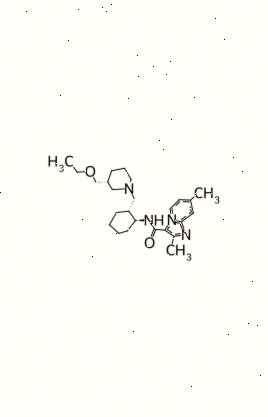 CCOC[C@@H]1CCCN(C[C@H]2CCCC[C@@H]2NC(=O)c2c(C)nc3cc(C)ccn23)C1